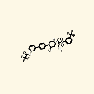 CC(C)([C@H]1CCN(c2ccc(-c3ccc[n+](OC(=O)C(F)(F)F)c3)cc2)C(=O)C1)S(=O)(=O)c1cccc(C(F)(F)F)c1